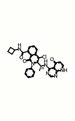 C[C@H](Nc1ncnc2[nH]ccc(=O)c12)c1c(Cl)c2cccc(C(=O)NC3CCC3)c2c(=O)n1-c1ccccc1